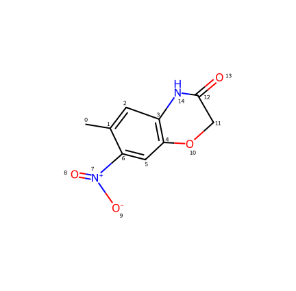 Cc1cc2c(cc1[N+](=O)[O-])OCC(=O)N2